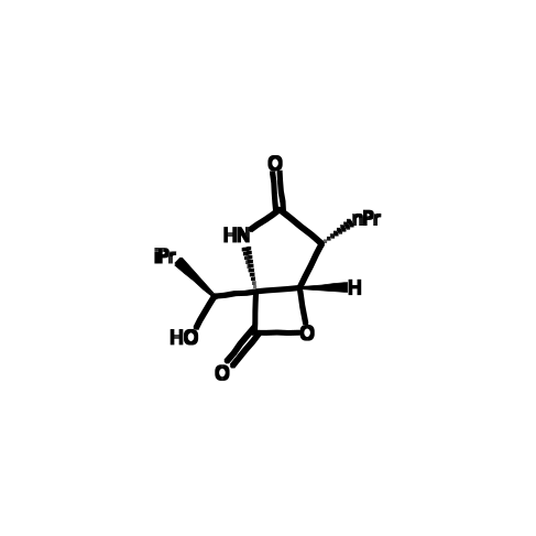 CCC[C@H]1C(=O)N[C@@]2([C@@H](O)C(C)C)C(=O)O[C@@H]12